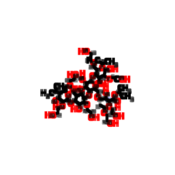 CC(C)O[C@H](O)/C(OCCO)=C(/O)[C@H](CCOCCO)O[C@@H]1OC(CO[C@@H](CCOCCO)/C(O)=C(\OCCO)[C@@H](O)OC(C)C)[C@H](O[C@@H]2CC(CO)[C@H](O[C@@H]3OC(COCCO)[C@@H](C(C)C)C(O)C3OCCO)C(O)C2OCCO)C(O)C1O